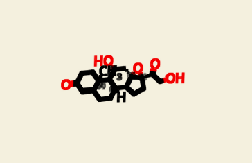 C[C@]12CCC(=O)C=C1CC[C@@H]1C2[C@@H](O)C[C@]23O[C@]2(C(=O)CO)CCC13